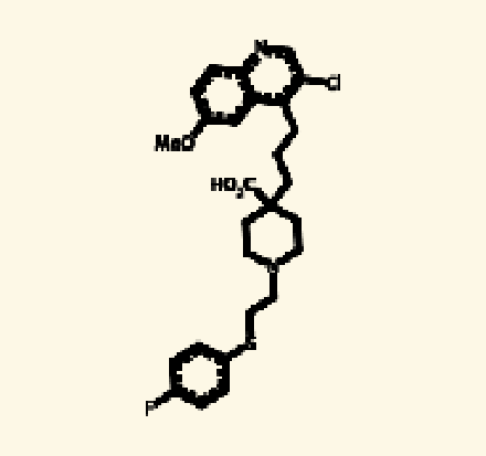 COc1ccc2ncc(Cl)c(CCCC3(C(=O)O)CCN(CCSc4ccc(F)cc4)CC3)c2c1